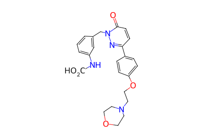 O=C(O)Nc1cccc(Cn2nc(-c3ccc(OCCN4CCOCC4)cc3)ccc2=O)c1